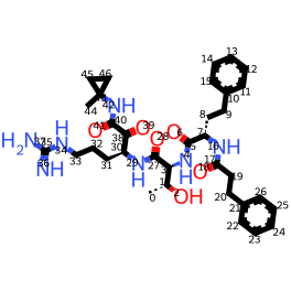 C[C@@H](O)[C@H](NC(=O)[C@H](CCc1ccccc1)NC(=O)CCc1ccccc1)C(=O)N[C@@H](CCCNC(=N)N)C(=O)C(=O)NC1(C)CC1